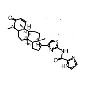 CN1C(=O)C=C[C@@]2(C)C1CC[C@@H]1[C@H]2CC[C@]2(C)C(c3csc(NC(=O)c4ncc[nH]4)n3)CC[C@@H]12